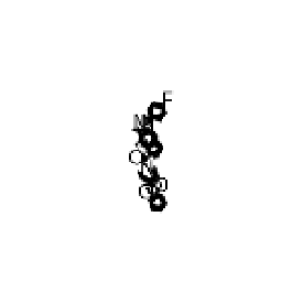 C[C@@H]1C2=C(CC[C@H]2C(=O)N2CCC(S(=O)(=O)c3ccccc3)CC2)Cc2c1cnn2-c1ccc(F)cc1